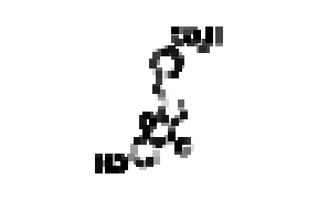 O=C(O)c1ccc(/C=C2\CCc3c2oc2cc(O)ccc2c3=O)cc1